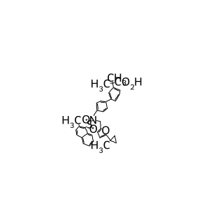 Cc1ccc2ccccc2c1S(=O)(=O)N(Cc1ccc(-c2cccc(C(C)(C)C(=O)O)c2)cc1)Cc1ccc(C2(C)CC2)o1